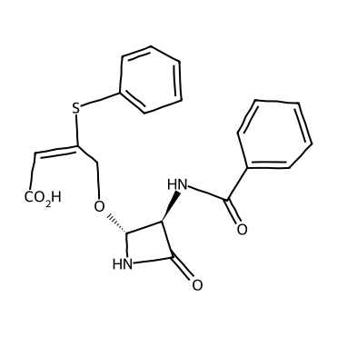 O=C(O)/C=C(\CO[C@H]1NC(=O)[C@@H]1NC(=O)c1ccccc1)Sc1ccccc1